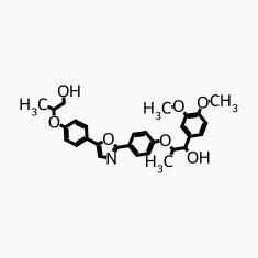 COc1ccc(C(O)C(C)Oc2ccc(-c3ncc(-c4ccc(OC(C)CO)cc4)o3)cc2)cc1OC